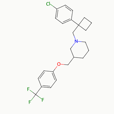 FC(F)(F)c1ccc(OCC2CCCN(CC3(c4ccc(Cl)cc4)CCC3)C2)cc1